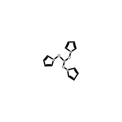 c1ccn(OB(On2cccc2)On2cccc2)c1